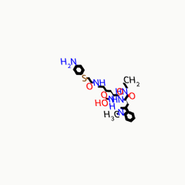 C=CCNC(=O)[C@H](Cc1cn(C)c2ccccc12)NC(=O)[C@H](CCCCNC(=O)CSc1ccc(N)cc1)NC(=O)O